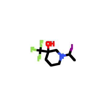 CC(I)N1CCCC(O)(C(F)(F)F)C1